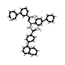 C=C(NC(/C=C(\C)c1cccc(-c2cccnc2)c1)c1ccc(-c2ccccc2)cc1)c1ccc(-c2cccc3ccccc23)cc1